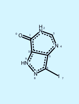 O=c1[nH]cnc2c(I)n[nH]c12